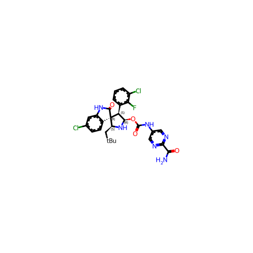 CC(C)(C)C[C@@H]1N[C@H](OC(=O)Nc2cnc(C(N)=O)nc2)[C@H](c2cccc(Cl)c2F)[C@]12C(=O)Nc1cc(Cl)ccc12